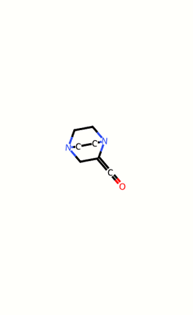 O=C=C1CN2CCN1CC2